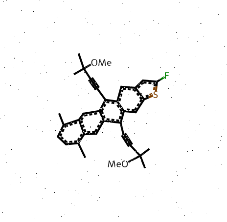 COC(C)(C)C#Cc1c2cc3cc(F)sc3cc2c(C#CC(C)(C)OC)c2cc3c(C)ccc(C)c3cc12